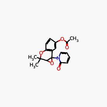 CC(=O)Oc1ccc2c(c1)C1(n3ccccc3=O)OC1C(C)(C)O2